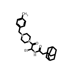 CCC(NC(=O)CC12CC3CC(CC(C3)C1)C2)C(=O)N1CCN(Cc2ccc(C)cc2)CC1